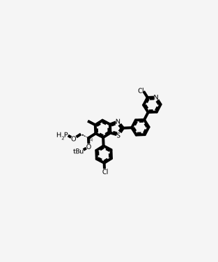 Cc1cc2nc(-c3cccc(-c4ccnc(Cl)c4)c3)sc2c(-c2ccc(Cl)cc2)c1[C@@H](COP)OC(C)(C)C